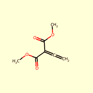 C=C=C(C(=O)OC)C(=O)OC